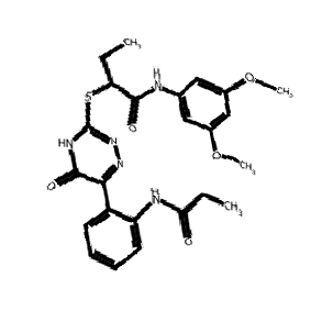 CCC(=O)Nc1ccccc1-c1nnc(SC(CC)C(=O)Nc2cc(OC)cc(OC)c2)[nH]c1=O